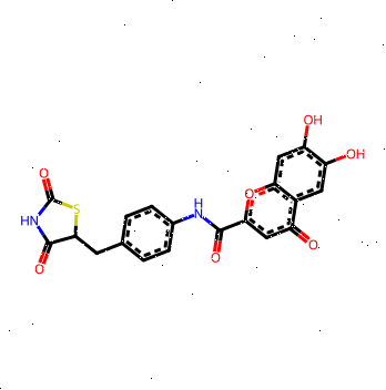 O=C1NC(=O)C(Cc2ccc(NC(=O)c3cc(=O)c4cc(O)c(O)cc4o3)cc2)S1